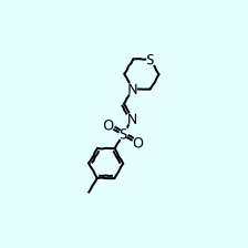 Cc1ccc(S(=O)(=O)N=CN2CCSCC2)cc1